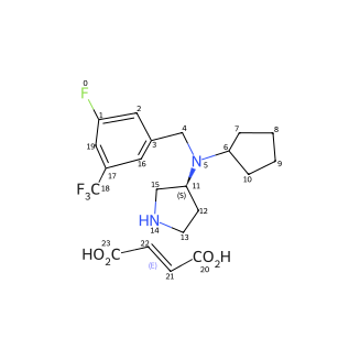 Fc1cc(CN(C2CCCC2)[C@H]2CCNC2)cc(C(F)(F)F)c1.O=C(O)/C=C/C(=O)O